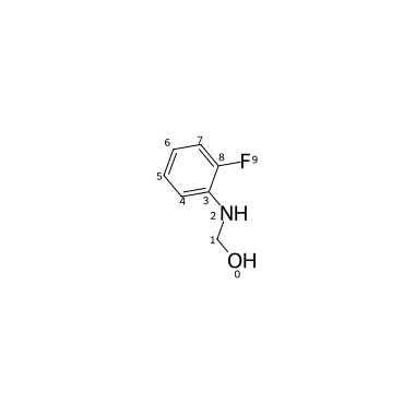 OCNc1ccccc1F